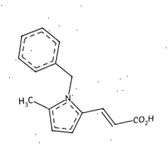 Cc1ccc(C=CC(=O)O)n1Cc1ccccc1